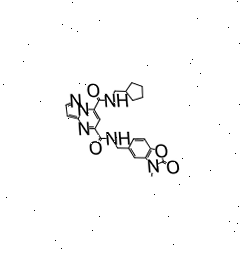 Cn1c(=O)oc2ccc(CNC(=O)c3cc(C(=O)NCC4CCCC4)n4nccc4n3)cc21